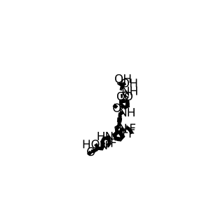 COCC(O)CN1CCC(Nc2cccc3c2cc(C#CCNc2ccc(S(=O)(=O)NCC(O)CO)cc2OC)n3CC(F)(F)F)C(F)C1